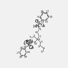 CCCCC(CC)(CCCNS(=O)(=O)c1ccccc1)CNS(=O)(=O)c1ccccc1